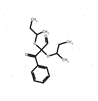 CCC(C)OC(C=O)(OC(C)CC)C(=O)c1ccccc1